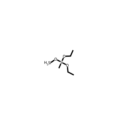 CCO[Si](C)(O[SiH3])OCC